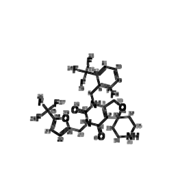 O=c1c2c(n(Cc3c(F)cccc3C(F)(F)F)c(=O)n1Cc1ccc(C(F)(F)F)o1)COC21CCNCC1